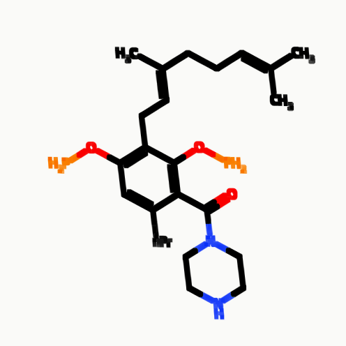 CCCc1cc(OP)c(C/C=C(\C)CCC=C(C)C)c(OP)c1C(=O)N1CCNCC1